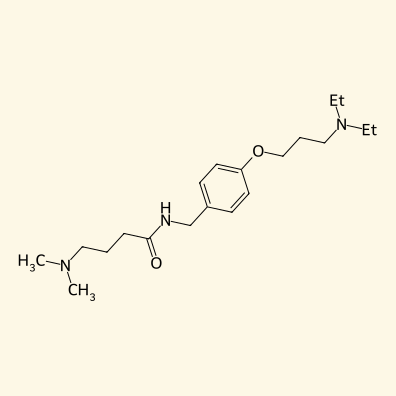 CCN(CC)CCCOc1ccc(CNC(=O)CCCN(C)C)cc1